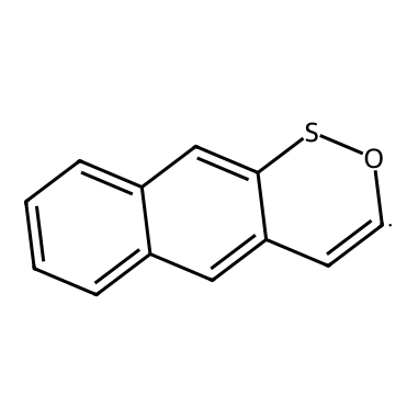 [C]1=Cc2cc3ccccc3cc2SO1